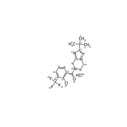 CC(C)(C)c1cn2c(n1)CN(C(=O)c1cccc(C(F)(F)F)c1Cl)CC2.Cl